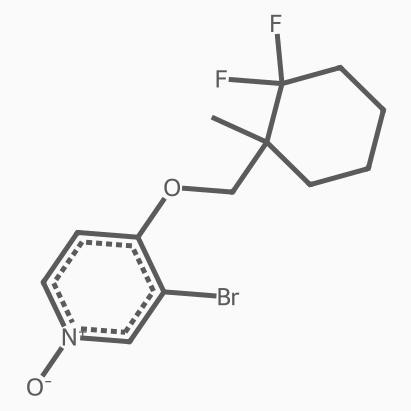 CC1(COc2cc[n+]([O-])cc2Br)CCCCC1(F)F